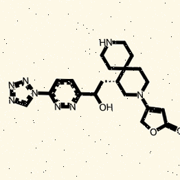 O=C1C=C(N2CCC3(CCNCC3)[C@@H](CC(O)c3ccc(-n4cnnn4)nn3)C2)CO1